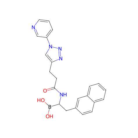 O=C(CCc1cn(-c2cccnc2)nn1)NC(Cc1ccc2ccccc2c1)B(O)O